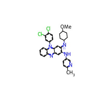 COC1CCC(/N=c2\cc3n(-c4ccc(Cl)c(Cl)c4)c4ccccc4nc-3cc2Nc2ccc(C)nc2)CC1